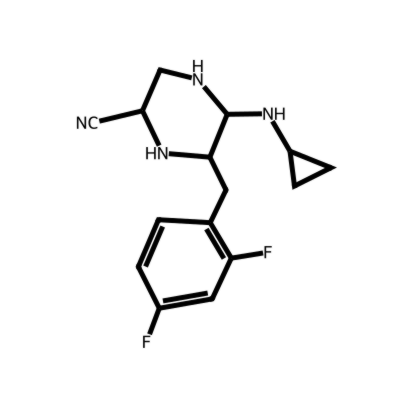 N#CC1CNC(NC2CC2)C(Cc2ccc(F)cc2F)N1